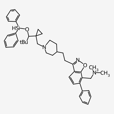 CN(C)Cc1c(-c2ccccc2)ccc2c(CCC3CCN(CC4(C(O[SiH](c5ccccc5)c5ccccc5)C(C)(C)C)CC4)CC3)noc12